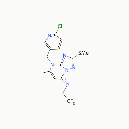 CSc1nc2n(Cc3ccc(Cl)nc3)c(C)c/c(=N\CC(F)(F)F)n2n1